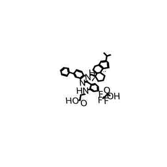 CC(C)c1ccc2c(c1)CC[C@H]1[C@@](C)(Cn3c(-c4ccccc4NCCC(=O)O)nc4cc(-c5ccccc5)ccc43)CCC[C@]21C.O=C(O)C(F)(F)F